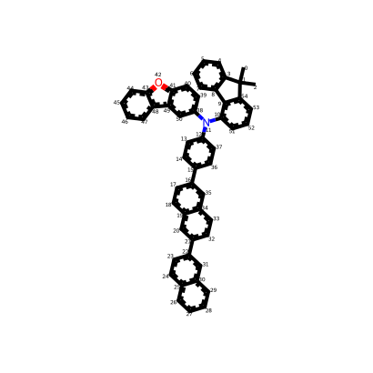 CC1(C)c2ccccc2-c2c(N(c3ccc(-c4ccc5cc(-c6ccc7ccccc7c6)ccc5c4)cc3)c3ccc4oc5ccccc5c4c3)cccc21